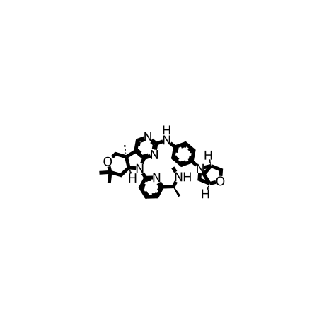 CN[C@@H](C)c1cccc(N2c3nc(Nc4ccc(N5C[C@H]6C[C@@H]5CO6)cc4)ncc3[C@]3(C)COC(C)(C)C[C@H]23)n1